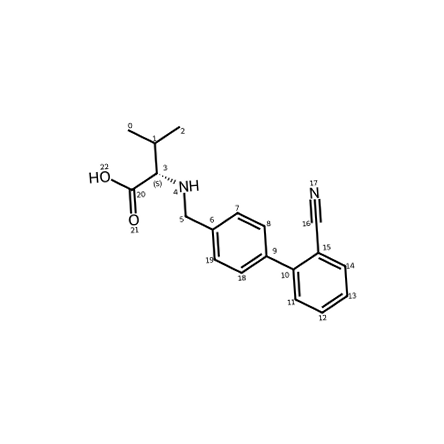 CC(C)[C@H](NCc1ccc(-c2ccccc2C#N)cc1)C(=O)O